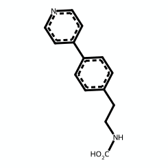 O=C(O)NCCc1ccc(-c2ccncc2)cc1